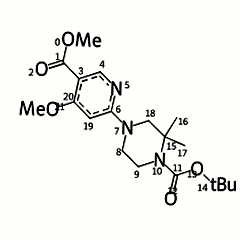 COC(=O)c1cnc(N2CCN(C(=O)OC(C)(C)C)C(C)(C)C2)cc1OC